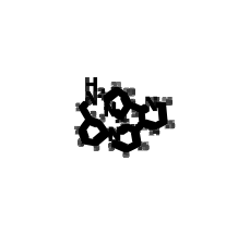 NCc1ccccc1.c1cncc(-c2cccnc2-c2cccnc2)c1